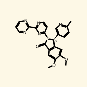 COc1cc2c(cc1OC)[C@H](c1ccc(C)nc1)N(c1ccnc(-c3ncccn3)n1)C2=O